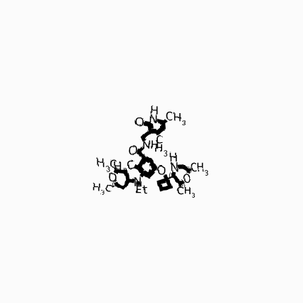 CCN(c1cc(OC2([C@H]3NC[C@@H](C)O[C@H]3C)CCC2)cc(C(=O)NCc2c(C)cc(C)[nH]c2=O)c1C)C1C[C@@H](C)O[C@@H](C)C1